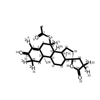 [2H]C1=C2CC([2H])(SC(C)=O)[C@@H]3C(CC[C@@]4(C)C3CC[C@@]43CC([2H])([2H])C(=O)O3)[C@@]2(C)CC([2H])([2H])C1=O